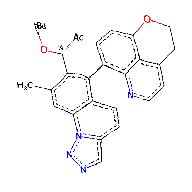 CC(=O)[C@@H](OC(C)(C)C)c1c(C)cc2c(ccc3cnnn32)c1-c1ccc2c3c(ccnc13)CCO2